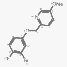 COc1ccc(COc2ccc(F)c(Br)c2)nc1